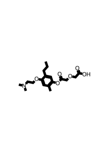 CCCc1cc(OC(=O)COCC(=O)O)c(C)cc1OCCN(C)C